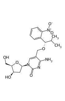 CC(C)[C@H](OCc1cn([C@H]2C[C@@H](O)[C@@H](CO)O2)c(=O)nc1N)c1ccccc1[N+](=O)[O-]